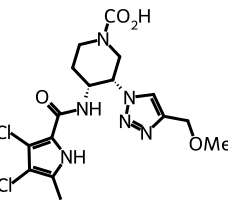 COCc1cn([C@H]2CN(C(=O)O)CC[C@H]2NC(=O)c2[nH]c(C)c(Cl)c2Cl)nn1